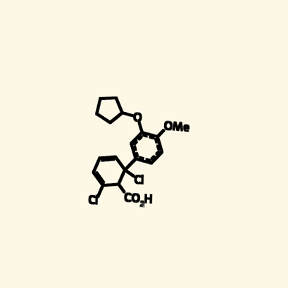 COc1ccc(C2(Cl)C=CC=C(Cl)C2C(=O)O)cc1OC1CCCC1